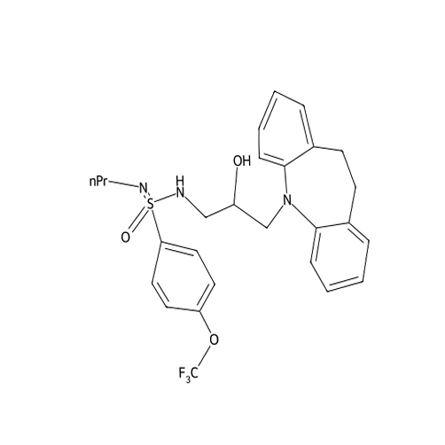 CCCN=S(=O)(NCC(O)CN1c2ccccc2CCc2ccccc21)c1ccc(OC(F)(F)F)cc1